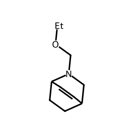 CCOCN1CC2C=CC1CC2